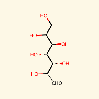 O=C[C@H](O)[C@@H](O)[C@H](O)[C@H](O)C(O)CO